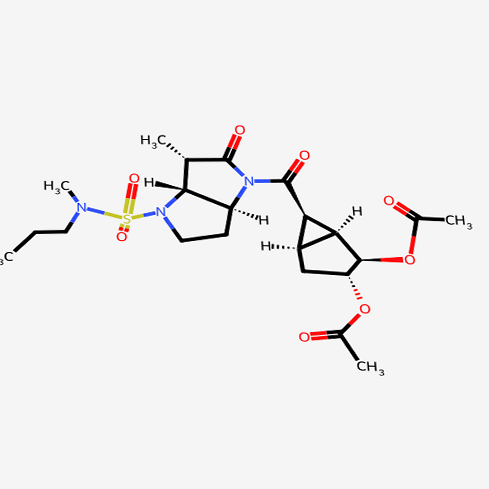 CCCN(C)S(=O)(=O)N1CC[C@H]2[C@H]1[C@H](C)C(=O)N2C(=O)[C@@H]1[C@@H]2C[C@@H](OC(C)=O)[C@H](OC(C)=O)[C@@H]21